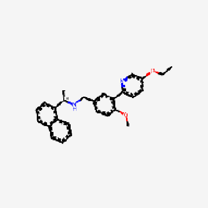 CCOc1ccc(-c2cc(CN[C@H](C)c3cccc4ccccc34)ccc2OC)nc1